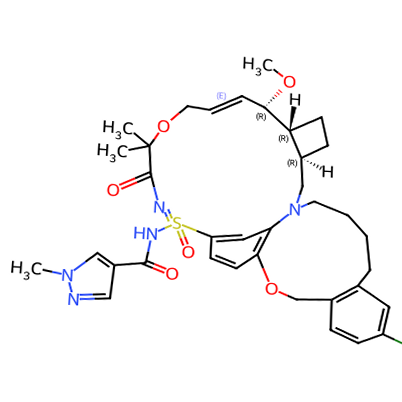 CO[C@H]1/C=C/COC(C)(C)C(=O)N=S(=O)(NC(=O)c2cnn(C)c2)c2ccc3c(c2)N(CCCCc2cc(Cl)ccc2CO3)C[C@@H]2CC[C@H]21